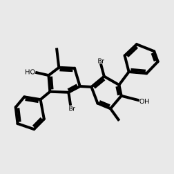 Cc1cc(-c2cc(C)c(O)c(-c3ccccc3)c2Br)c(Br)c(-c2ccccc2)c1O